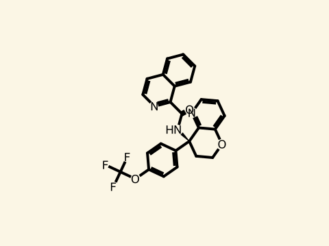 O=C(N[C@]1(c2ccc(OC(F)(F)F)cc2)CCOc2cccnc21)c1nccc2ccccc12